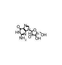 Nc1nc2c(ncn2C2O[C@H](CO)[C@@H](O)[C@@H]2O)c(=O)[nH]1